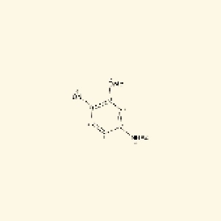 COc1cc(NC(C)=O)ccc1N=O